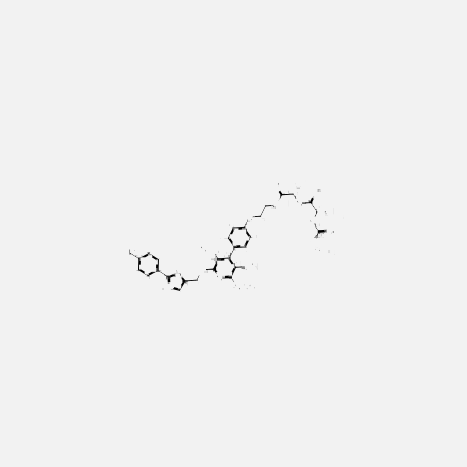 CNc1nc(SCc2csc(-c3ccc(Cl)cc3)n2)c(C#N)c(-c2ccc(OCCOC(=O)[C@H](C)NC(=O)[C@H](C)NC(=O)OC(C)(C)C)cc2)c1C#N